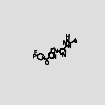 O=C(c1cnc2c(ccn2-c2cncc(-c3n[nH]c(C4CC4)n3)c2)c1)N1CCC(F)(F)CC1